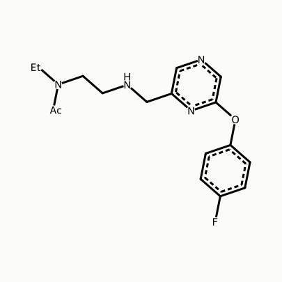 CCN(CCNCc1cncc(Oc2ccc(F)cc2)n1)C(C)=O